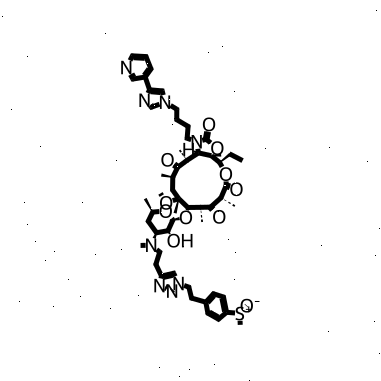 CC[C@H]1OC(=O)[C@H](C)C(=O)[C@H](C)[C@@H](O[C@@H]2O[C@H](C)C[C@H](N(C)CCc3cn(CCc4ccc([S+](C)[O-])cc4)nn3)[C@H]2O)[C@](C)(OC)C[C@@H](C)C(=O)[C@H](C)[C@H]2N(CCCCn3cnc(-c4cccnc4)c3)C(=O)O[C@]12C